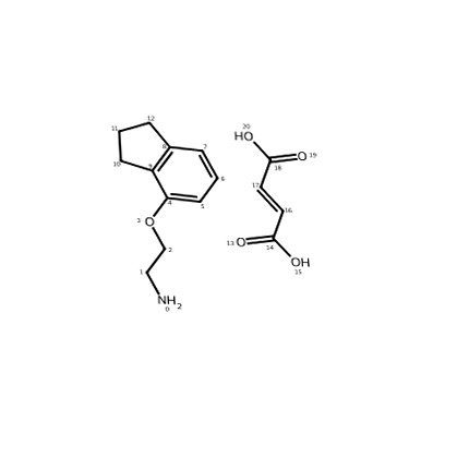 NCCOc1cccc2c1CCC2.O=C(O)C=CC(=O)O